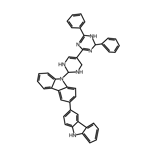 C1=C(C2=NC(c3ccccc3)NC(c3ccccc3)=N2)CNC(n2c3ccccc3c3cc(-c4ccc5[nH]c6ccccc6c5c4)ccc32)N1